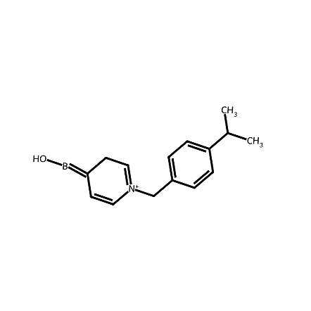 CC(C)c1ccc(C[N+]2=CC/C(=B/O)C=C2)cc1